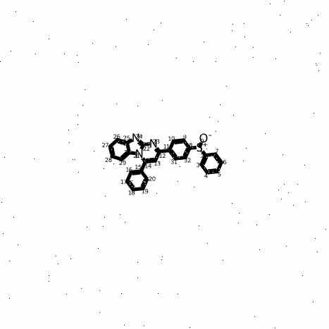 [O-][S+](c1ccccc1)c1ccc(-c2cc(-c3ccccc3)n3c(n2)nc2ccccc23)cc1